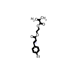 C=C(C)C(=O)OCCOC(=O)/C=C/c1ccc(CC)cc1